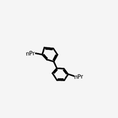 CCCc1cccc(-c2cccc(CCC)c2)c1